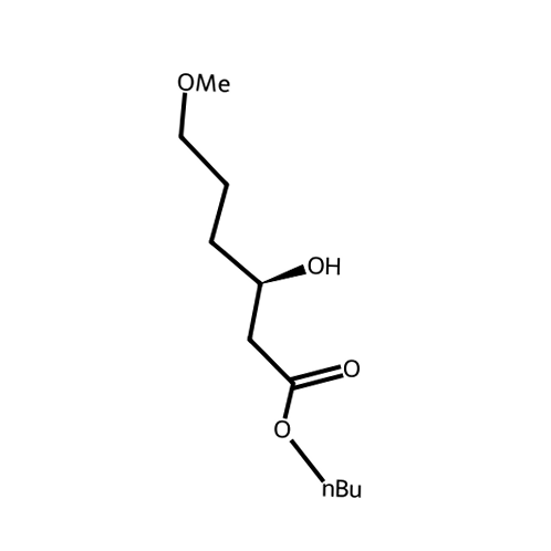 CCCCOC(=O)C[C@H](O)CCCOC